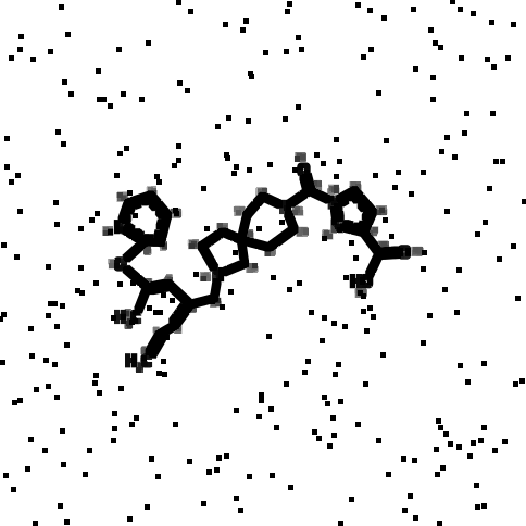 C=C/C=C(\C=C(/C)Oc1ccccn1)CN1CCC2(CCN(C(=O)n3ccc(C(=O)O)n3)CC2)C1